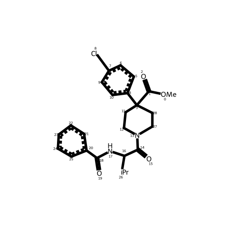 COC(=O)C1(c2ccc(Cl)cc2)CCN(C(=O)C(NC(=O)c2ccccc2)C(C)C)CC1